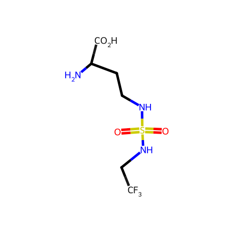 NC(CCNS(=O)(=O)NCC(F)(F)F)C(=O)O